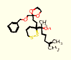 C=C(C)CCCC(C)(O)C1(CCC2(COCc3ccccc3)OCCO2)CCCSS1